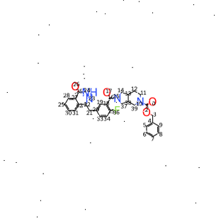 O=C(OCc1ccccc1)N1CCC2CN(C(=O)c3cc(Cc4n[nH]c(=O)c5ccccc45)ccc3F)CC2C1